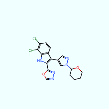 Clc1ccc2c(-c3cnn(C4CCCCO4)c3)c(-c3nnco3)[nH]c2c1Cl